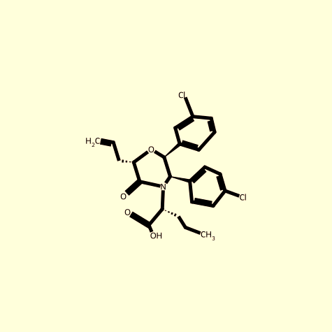 C=CC[C@@H]1O[C@@H](c2cccc(Cl)c2)[C@@H](c2ccc(Cl)cc2)N([C@H](CCC)C(=O)O)C1=O